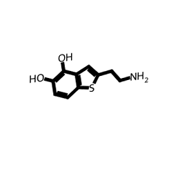 NCCc1cc2c(O)c(O)ccc2s1